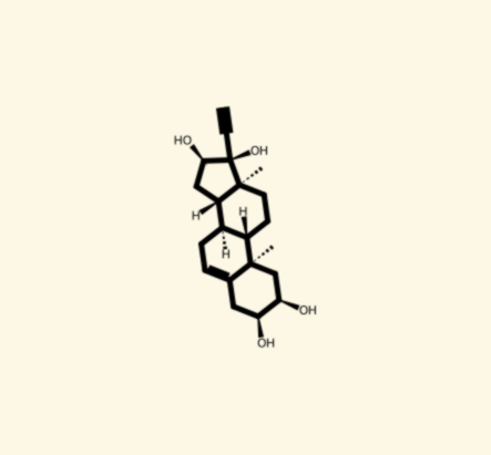 C#C[C@@]1(O)[C@H](O)C[C@H]2[C@@H]3CC=C4C[C@H](O)[C@H](O)C[C@]4(C)[C@H]3CC[C@@]21C